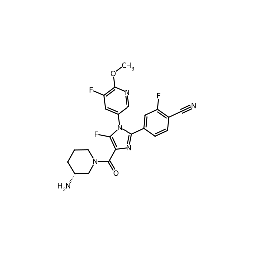 COc1ncc(-n2c(-c3ccc(C#N)c(F)c3)nc(C(=O)N3CCC[C@@H](N)C3)c2F)cc1F